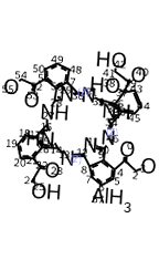 O=C(CO)c1cccc2c1C1=NC/2=N\c2[nH]c(c3cccc(C(=O)CO)c23)NC2=N/C(=N\c3[nH]/c(c4c3C(O)(C(=O)CO)C=CC=4)=N\1)c1cccc(C(=O)CO)c12.[AlH3]